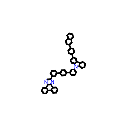 c1cc(-c2ccc(-c3cccc(-n4c5ccccc5c5cc(-c6ccc(-c7ccc8ccccc8c7)cc6)ccc54)c3)cc2)cc(-c2cnc3c4ccccc4c4ccccc4c3n2)c1